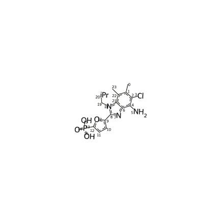 Cc1c(Cl)c(N)c2nc(-c3ccc(P(=O)(O)O)o3)n(CC(C)C)c2c1C